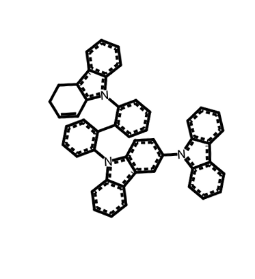 C1=Cc2c(c3ccccc3n2-c2ccccc2-c2ccccc2-n2c3ccccc3c3cc(-n4c5ccccc5c5ccccc54)ccc32)CC1